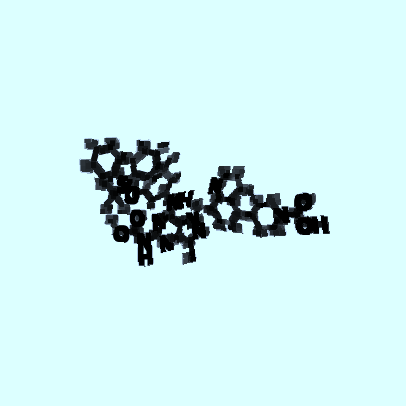 CCCC(CCO[Si](c1ccccc1)(c1ccccc1)C(C)(C)C)Nc1nc(NC(=O)OC)nc2c(I)nn(Cc3ccc(C4CCN(C(=O)O)CC4)c4cccnc34)c12